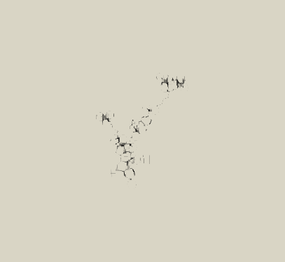 COc1cc(C(=O)OCCCCC(CO[N+](=O)[O-])O[N+](=O)[O-])ccc1OC(=O)OCC(=O)[C@@]1(OC(=O)CCCO[N+](=O)[O-])[C@H](C)CC2C3C[C@H](F)C4=CC(=O)C=C[C@]4(C)[C@@]3(F)[C@@H](O)C[C@@]21C